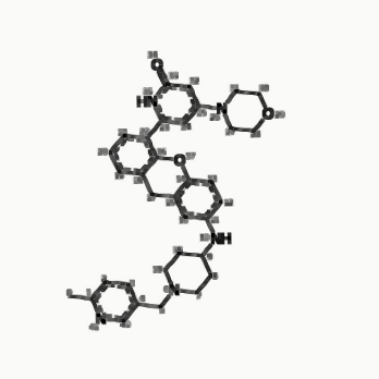 Cc1ccc(CN2CCC(Nc3ccc4c(c3)Cc3cccc(-c5cc(N6CCOCC6)cc(=O)[nH]5)c3O4)CC2)cn1